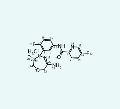 C[C@]1(c2cc(NC(=O)c3ccc(F)cn3)ccc2F)N=C(N)COC[C@@H]1F